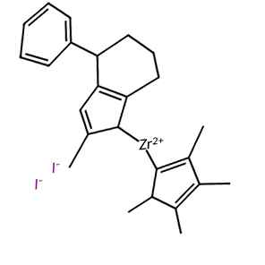 CC1=CC2=C(CCCC2c2ccccc2)[CH]1[Zr+2][C]1=C(C)C(C)=C(C)C1C.[I-].[I-]